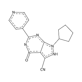 N#Cc1[nH]n(C2CCCC2)c2nc(-c3ccncc3)nc(=O)c1-2